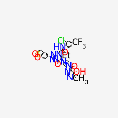 CCc1c(N2CCN(C(=O)c3ncnc(C)c3O)CC2)c(=O)n2nc(-c3ccc4c(c3)CCS4(=O)=O)nc2n1CC(=O)Nc1ccc(C(F)(F)F)cc1Cl